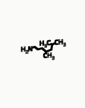 CC(C)CC(C)CCCN